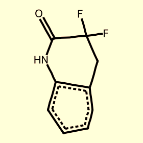 O=C1Nc2ccccc2CC1(F)F